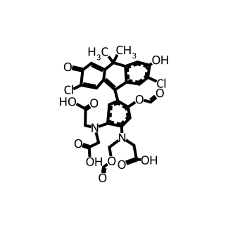 CC1(C)C2=CC(=O)C(Cl)=CC2=C(c2cc(N(CC(=O)O)CC(=O)O)c(N(COC=O)CC(=O)O)cc2OC=O)c2cc(Cl)c(O)cc21